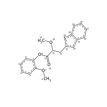 COc1ccccc1OC(=O)C(Cc1cc2ccccc2s1)OC